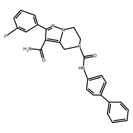 NC(=O)c1c(-c2cccc(F)c2)nn2c1CN(C(=O)Nc1ccc(-c3ccccc3)cc1)CC2